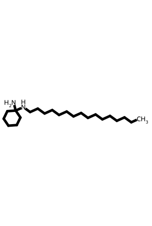 CCCCCCCCCCCCCCCCNC1(N)CCCCC1